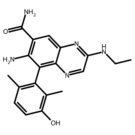 CCNc1cnc2c(-c3c(C)ccc(O)c3C)c(N)c(C(N)=O)cc2n1